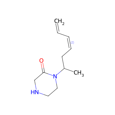 C=C/C=C\CC(C)N1CCNCC1=O